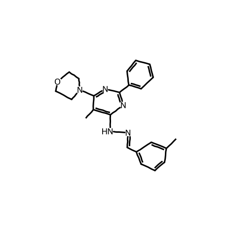 Cc1cccc(C=NNc2nc(-c3ccccc3)nc(N3CCOCC3)c2C)c1